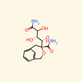 NC(=O)[C@@H](O)[C@@H](O)[C@H](O)[C@@]1(C(N)=O)Cc2cccc(c2)CO1